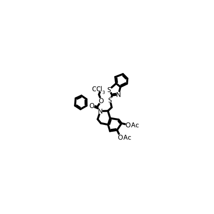 CC(=O)Oc1cc2c(cc1OC(C)=O)C(CSc1nc3ccccc3s1)N(C(=O)OCC(Cl)(Cl)Cl)CC2.c1ccccc1